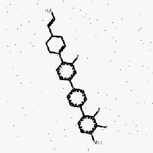 C/C=C/C1CC=C(c2ccc(-c3ccc(-c4ccc(CCCCCCCC)c(F)c4F)cc3)cc2F)CC1